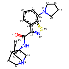 O=C(N[C@@H]1CN2CCC1CC2)c1nsc2c(N3CCCC3)cccc12